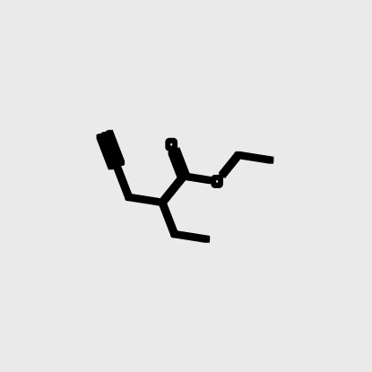 C#CCC(CC)C(=O)OCC